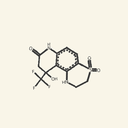 O=C1CC(O)(C(F)(F)F)c2c(ccc3c2NCCS3(=O)=O)N1